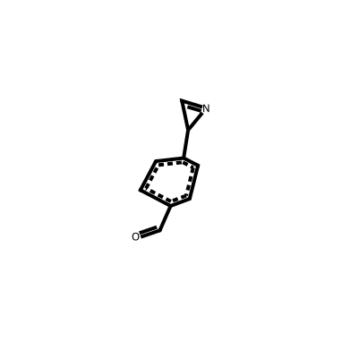 O=Cc1ccc(C2C=N2)cc1